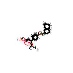 CC#C[C@@H](CC(O)O)c1ccc(OCC2CCCC3(CCCCC3)C2)cc1